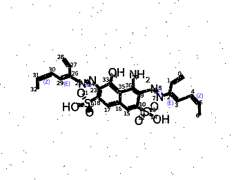 C=CC(=C\C=C/C)/N=N/c1c(S(=O)(=O)O)cc2cc(S(=O)(=O)O)c(/N=N/C(C=C)=C/C=C\C)c(O)c2c1N